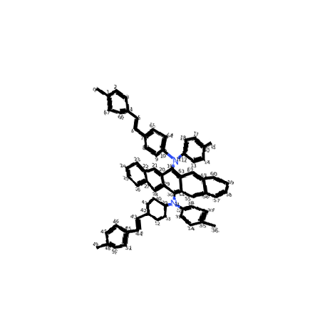 Cc1ccc(/C=C/c2ccc(N(c3ccc(C)cc3)c3c4cc5ccccc5cc4c(N(c4ccc(C)cc4)C4CCC(/C=C/c5ccc(C)cc5)CC4)c4cc5ccccc5cc34)cc2)cc1